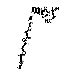 C=C.C=C.C=C.C=C.C=C.COC.COCCOCCOCCOC.OCCO